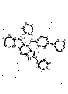 c1ccc(-c2ccc(N(c3ccccc3)c3c4oc(-c5ccccc5)nc4cc4c3oc3ccccc34)cc2)cc1